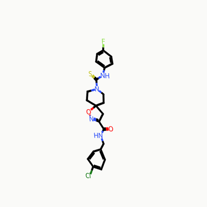 O=C(NCc1ccc(Cl)cc1)C1=NOC2(CCN(C(=S)Nc3ccc(F)cc3)CC2)C1